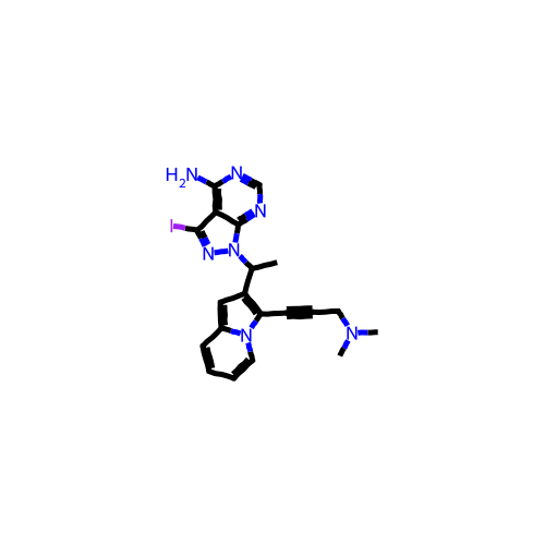 CC(c1cc2ccccn2c1C#CCN(C)C)n1nc(I)c2c(N)ncnc21